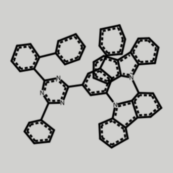 c1ccc(-c2cc(-c3nc(-c4ccccc4)nc(-c4ccccc4-c4ccccc4)n3)cc(-n3c4ccccc4c4cccc(-n5c6ccccc6c6ccccc65)c43)c2)cc1